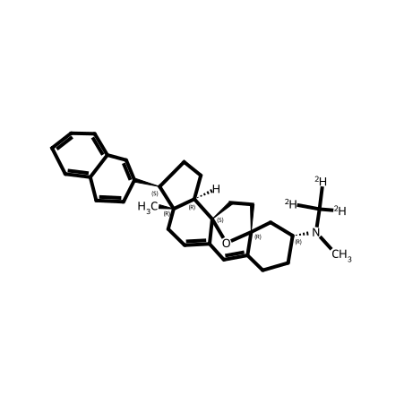 [2H]C([2H])([2H])N(C)[C@@H]1CCC2=CC3=CC[C@]4(C)[C@@H](c5ccc6ccccc6c5)CC[C@H]4[C@@]34CC[C@]2(C1)O4